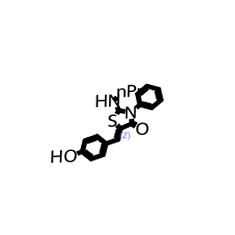 CCCNC1S/C(=C\c2ccc(O)cc2)C(=O)N1c1ccccc1